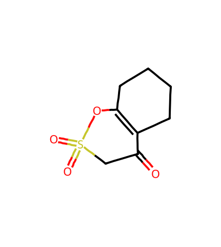 O=C1CS(=O)(=O)OC2=C1CCCC2